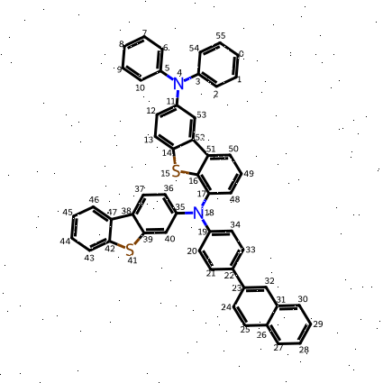 c1ccc(N(c2ccccc2)c2ccc3sc4c(N(c5ccc(-c6ccc7ccccc7c6)cc5)c5ccc6c(c5)sc5ccccc56)cccc4c3c2)cc1